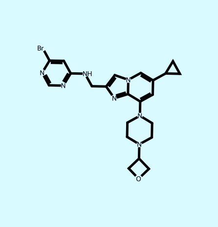 Brc1cc(NCc2cn3cc(C4CC4)cc(N4CCN(C5COC5)CC4)c3n2)ncn1